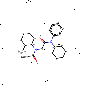 CNC(=O)N(CC(=O)N(c1ccccc1)C1CCCCC1)C1CCCCC1C